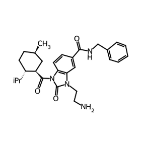 CC(C)[C@@H]1CC[C@@H](C)C[C@H]1C(=O)n1c(=O)n(CCN)c2cc(C(=O)NCc3ccccc3)ccc21